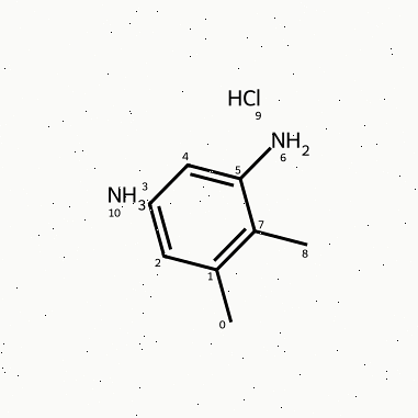 Cc1cccc(N)c1C.Cl.N